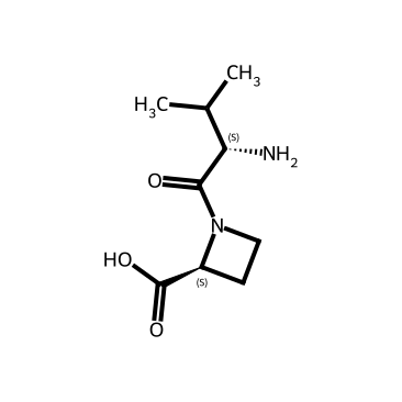 CC(C)[C@H](N)C(=O)N1CC[C@H]1C(=O)O